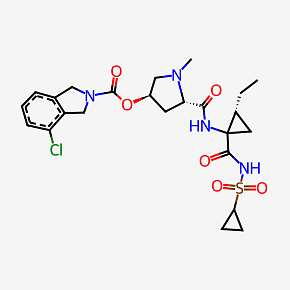 CC[C@@H]1CC1(NC(=O)[C@@H]1C[C@@H](OC(=O)N2Cc3cccc(Cl)c3C2)CN1C)C(=O)NS(=O)(=O)C1CC1